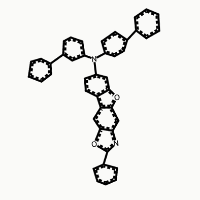 c1ccc(-c2ccc(N(c3cccc(-c4ccccc4)c3)c3ccc4c(c3)oc3cc5nc(-c6ccccc6)oc5cc34)cc2)cc1